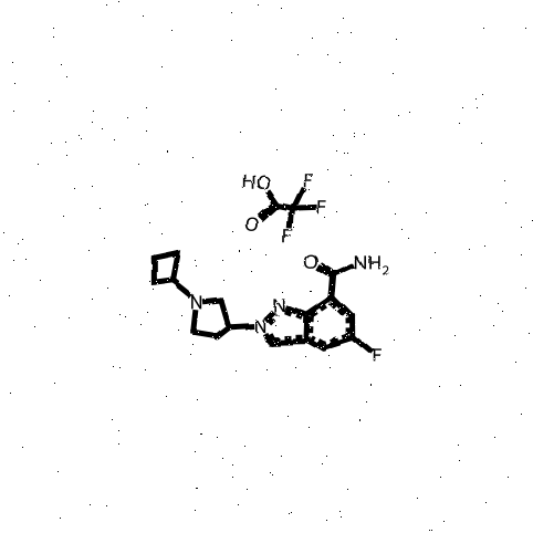 NC(=O)c1cc(F)cc2cn(C3CCN(C4CCC4)C3)nc12.O=C(O)C(F)(F)F